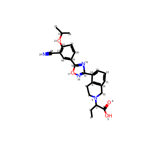 CCC(C(=O)O)N1CCc2c(cccc2-c2noc(-c3ccc(OC(C)C)c(C#N)c3)n2)C1